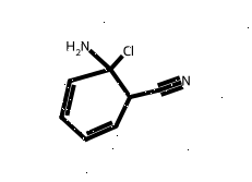 N#CC1C=CC=CC1(N)Cl